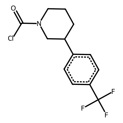 O=C(Cl)N1CCCC(c2ccc(C(F)(F)F)cc2)C1